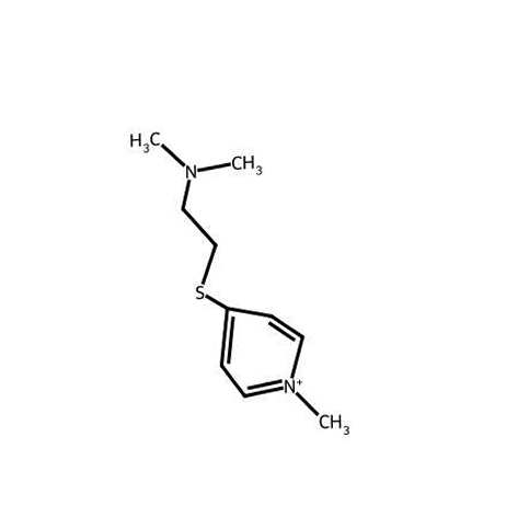 CN(C)CCSc1cc[n+](C)cc1